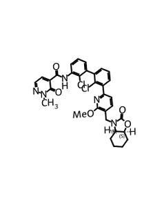 COc1nc(-c2cccc(-c3cccc(NC(=O)c4ccnn(C)c4=O)c3Cl)c2Cl)ccc1CN1C(=O)O[C@H]2CCCC[C@H]21